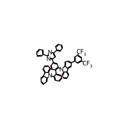 FC(F)(F)c1cc(-c2ccc3c(c2)c2ccccc2n3-c2cc(-c3cc(-c4ccccc4)nc(-c4ccccc4)n3)ccc2-c2ccccc2-n2c3ccccc3c3ccccc32)cc(C(F)(F)F)c1